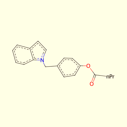 CCCC(=O)Oc1ccc(Cn2ccc3ccccc32)cc1